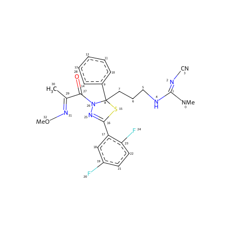 CNC(=NC#N)NCCCC1(c2ccccc2)SC(c2cc(F)ccc2F)=NN1C(=O)C(C)=NOC